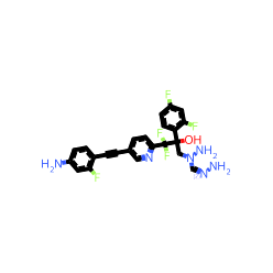 N/N=C\N(N)CC(O)(c1ccc(F)cc1F)C(F)(F)c1ccc(C#Cc2ccc(N)cc2F)cn1